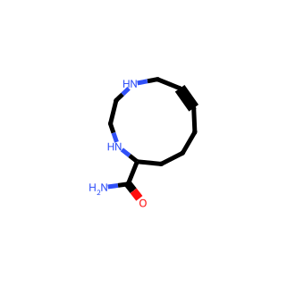 NC(=O)C1CCCC#CCNCCN1